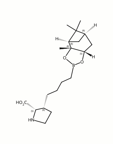 CC1(C)[C@H]2C[C@@H]3OB(CCCC[C@@H]4CCN[C@@H]4C(=O)O)O[C@]3(C)[C@@H]1C2